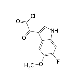 COc1cc2c(C(=O)C(=O)Cl)c[nH]c2cc1F